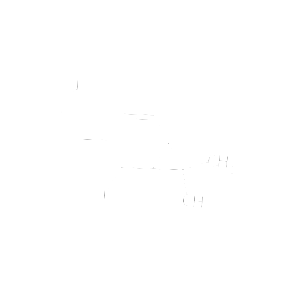 CC1(C)c2ccc(/C=C\I)c(I)c21